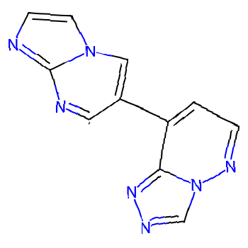 [c]1nc2nccn2cc1-c1ccnn2cnnc12